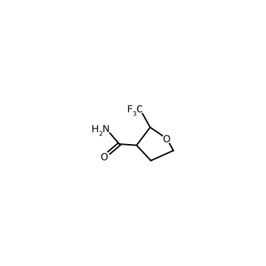 NC(=O)C1CCOC1C(F)(F)F